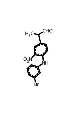 CC(C=O)c1ccc(Nc2cccc(Br)c2)c([N+](=O)[O-])c1